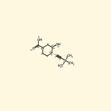 C[Si](C)(C)C#C[C@@H]1CCN(C(=O)O)C[C@H]1O